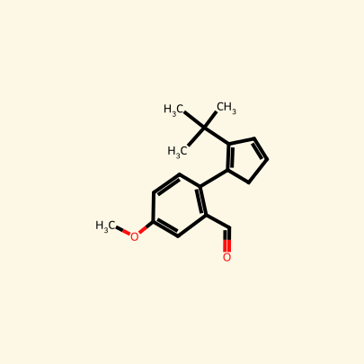 COc1ccc(C2=C(C(C)(C)C)C=CC2)c(C=O)c1